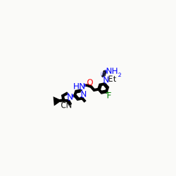 C=C1N(c2cc(C)nc(NC3OC3Cc3cc(F)cc(N(/C=C\N)CC)c3)c2)CC[C@@]1(C#N)C1CC1